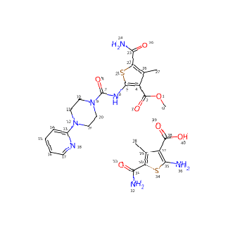 COC(=O)c1c(NC(=O)N2CCN(c3ccccn3)CC2)sc(C(N)=O)c1C.Cc1c(C(N)=O)sc(N)c1C(=O)O